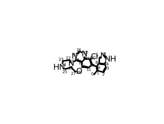 Cc1ccc2[nH]ncc2c1-c1cc2c3c(ncnc3c1Cl)N1CCNCC1CO2